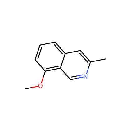 COc1cccc2cc(C)ncc12